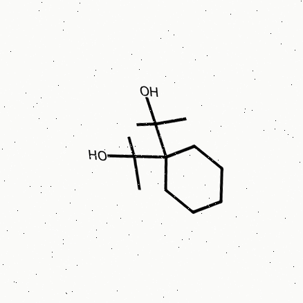 CC(C)(O)C1(C(C)(C)O)CCCCC1